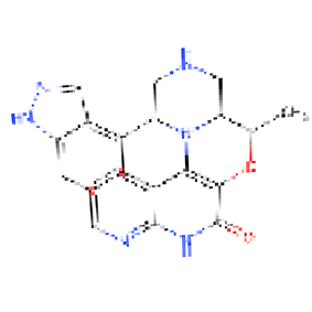 CC1Oc2c(c3cccnc3[nH]c2=O)N2C(c3cccc4[nH]ncc34)CNCC12